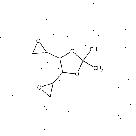 CC1(C)OC(C2CO2)C(C2CO2)O1